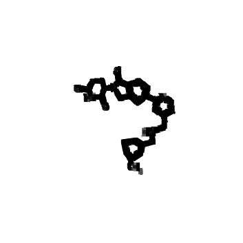 Cc1cccc(CNCc2ccnc(-c3ccc4c(c3)CN(C3CCC(=O)NC3=O)C4=O)c2)c1